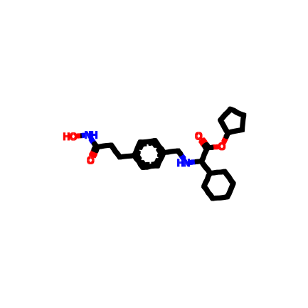 O=C(CCc1ccc(CNC(C(=O)OC2CCCC2)C2CCCCC2)cc1)NO